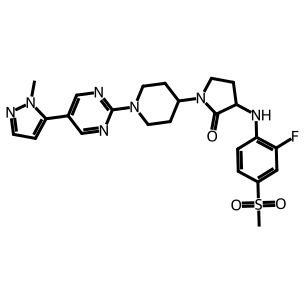 Cn1nccc1-c1cnc(N2CCC(N3CCC(Nc4ccc(S(C)(=O)=O)cc4F)C3=O)CC2)nc1